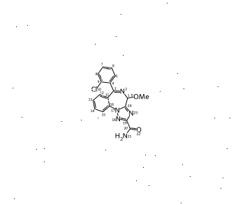 COC1N=C(c2ccccc2Cl)c2ccccc2-n2nc(C(N)=O)nc21